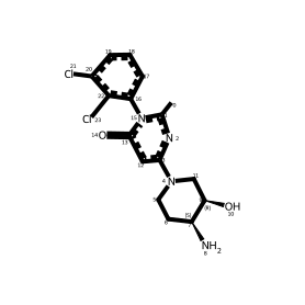 Cc1nc(N2CC[C@H](N)[C@H](O)C2)cc(=O)n1-c1cccc(Cl)c1Cl